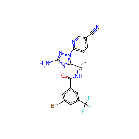 C[C@H](NC(=O)c1cc(Br)cc(C(F)(F)F)c1)c1nc(N)nn1-c1ccc(C#N)cn1